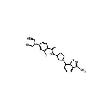 N=CN(C=N)c1ccc(C(=O)NC2CCN(c3cccc4c(N)noc34)C2)c(Cl)c1